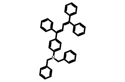 C(/C=C(\c1ccccc1)c1ccc(N(Cc2ccccc2)Cc2ccccc2)cc1)=C(c1ccccc1)c1ccccc1